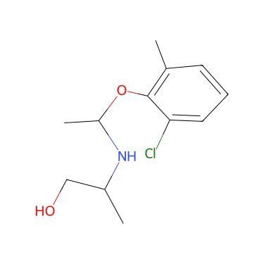 Cc1cccc(Cl)c1OC(C)NC(C)CO